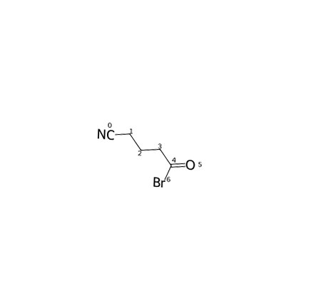 N#CCCCC(=O)Br